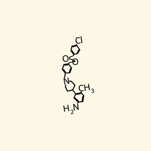 Cc1ccc(N)cc1C1CCN(Cc2ccc(S(=O)(=O)c3ccc(Cl)cc3)cc2)CC1